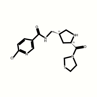 O=C(NC[C@@H]1CN[C@H](C(=O)N2CCSC2)C1)c1ccc(Cl)nc1